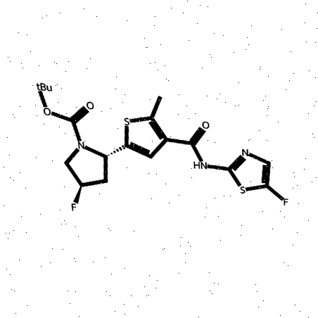 Cc1sc([C@@H]2C[C@@H](F)CN2C(=O)OC(C)(C)C)cc1C(=O)Nc1ncc(F)s1